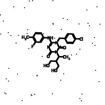 Cc1ccc(Nc2nc(=O)n(C(C)C(CO)CO)c(=O)n2Cc2ccc(Cl)cc2)cc1F